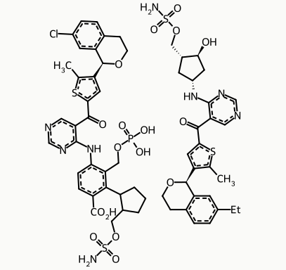 CCc1ccc2c(c1)[C@H](c1cc(C(=O)c3cncnc3N[C@@H]3C[C@H](COS(N)(=O)=O)[C@@H](O)C3)sc1C)OCC2.Cc1sc(C(=O)c2cncnc2Nc2ccc(C(=O)O)c(C3CCCC3COS(N)(=O)=O)c2COP(=O)(O)O)cc1[C@@H]1OCCc2ccc(Cl)cc21